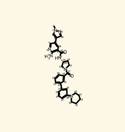 Cn1cc(-c2cnc(N)c(C(=O)N[C@@H]3CCN(C(=O)c4cccc(-c5cccc(N6CCCCC6)c5)c4)C3)c2)cn1